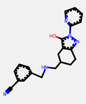 N#Cc1cccc(CNCC2CCc3nn(-c4ccccn4)c(O)c3C2)c1